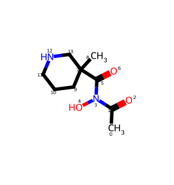 CC(=O)N(O)C(=O)C1(C)CCCNC1